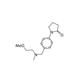 COCCN(C)Cc1ccc(N2CCCC2=O)cc1